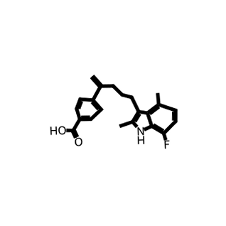 C=C(CCCc1c(C)[nH]c2c(F)ccc(C)c12)c1ccc(C(=O)O)cc1